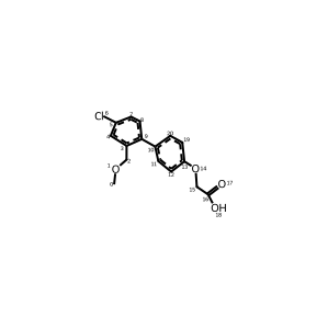 COCc1cc(Cl)ccc1-c1ccc(OCC(=O)O)cc1